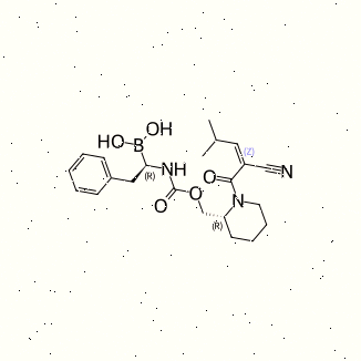 CC(C)/C=C(/C#N)C(=O)N1CCCC[C@@H]1COC(=O)N[C@@H](Cc1ccccc1)B(O)O